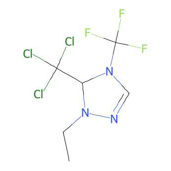 CCN1N=CN(C(F)(F)F)C1C(Cl)(Cl)Cl